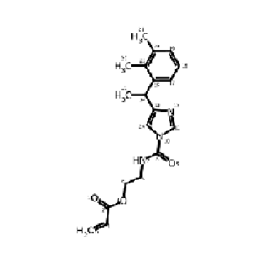 C=CC(=O)OCCNC(=O)n1cnc(C(C)c2cccc(C)c2C)c1